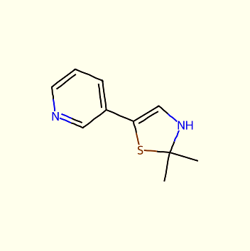 CC1(C)NC=C(c2cccnc2)S1